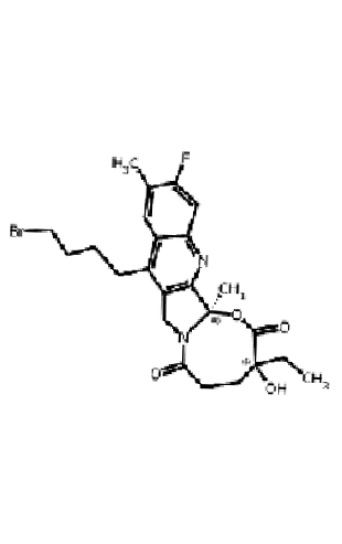 CC[C@]1(O)CCC(=O)N2Cc3c(nc4cc(F)c(C)cc4c3CCCCBr)[C@@]2(C)OC1=O